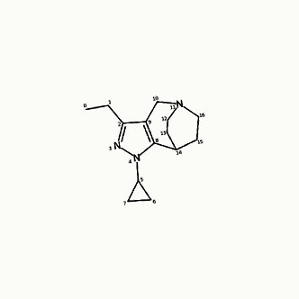 CCc1nn(C2CC2)c2c1CN1CCC2CC1